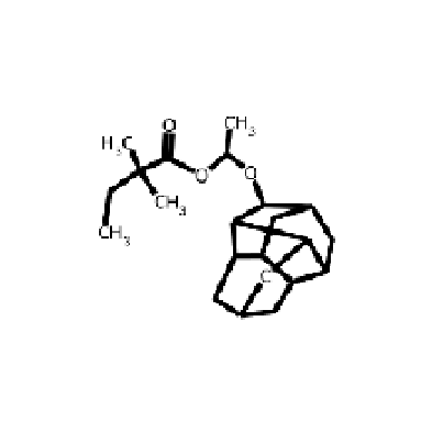 CCC(C)(C)C(=O)OC(C)OC1C2CC3C4CC5CC3C1C(C5)C4C2